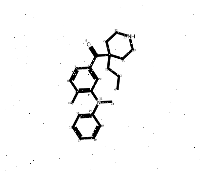 CCCC1(C(=O)c2ccc(C)c(N(C)c3ccccc3)c2)CCNCC1